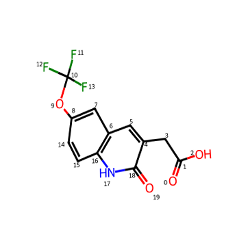 O=C(O)Cc1cc2cc(OC(F)(F)F)ccc2[nH]c1=O